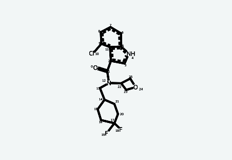 O=C(c1c[nH]c2cccc(Cl)c12)N(CC1CCC(F)(F)CC1)C1COC1